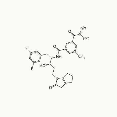 CCCN(CCC)C(=O)c1cc(C)cc(C(=O)N[C@@H](Cc2cc(F)cc(F)c2)[C@H](O)CCN2C(=O)CC3=C2CCC3)c1